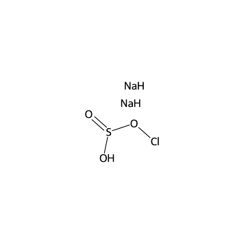 O=S(O)OCl.[NaH].[NaH]